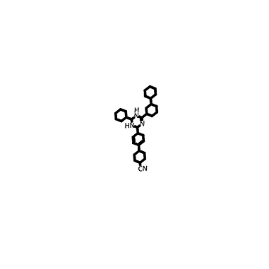 N#CC1CCC(C2=CCC(C3N=C(C4CCCC(C5CCCCC5)C4)NC(C4CCCCC4)N3)C=C2)CC1